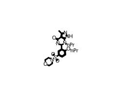 CCCOc1ccc(S(=O)(=O)N2CCOCC2)cc1C1[N]C(=O)c2c(C)n[nH]c2N1CCC